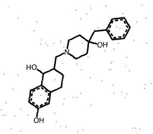 Oc1ccc2c(c1)CCC(CN1CCC(O)(Cc3ccccc3)CC1)C2O